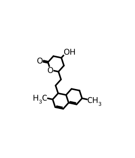 CC1C=C2C=CC(C)C(CCC3CC(O)CC(=O)O3)C2CC1